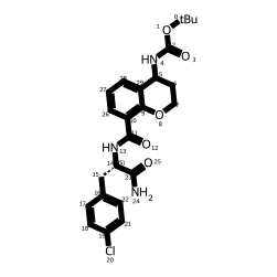 CC(C)(C)OC(=O)NC1CCOc2c(C(=O)N[C@@H](Cc3ccc(Cl)cc3)C(N)=O)cccc21